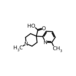 Cc1cccc(C2(C(=O)O)CCN(C)CC2)n1